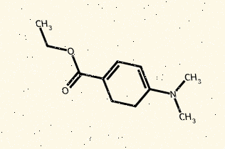 CCOC(=O)C1=CC=C(N(C)C)CC1